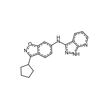 c1cnc2[nH]nc(Nc3ccc4c(C5CCCC5)noc4c3)c2c1